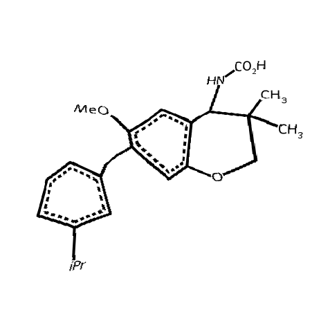 COc1cc2c(cc1-c1cccc(C(C)C)c1)OCC(C)(C)C2NC(=O)O